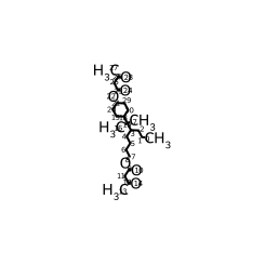 CCCC(CCCCOC(=O)CC(C)=O)C(C)(C)C1CCC(OC(=O)CC(C)=O)CC1